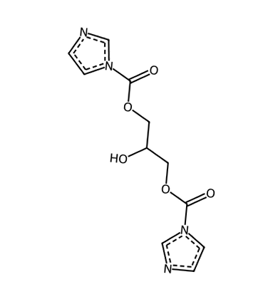 O=C(OCC(O)COC(=O)n1ccnc1)n1ccnc1